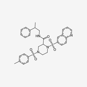 Cc1ccc(S(=O)(=O)N2CCN(S(=O)(=O)c3ccc4ncccc4c3)C(C(=O)NCC(C)c3ccccc3)C2)cc1